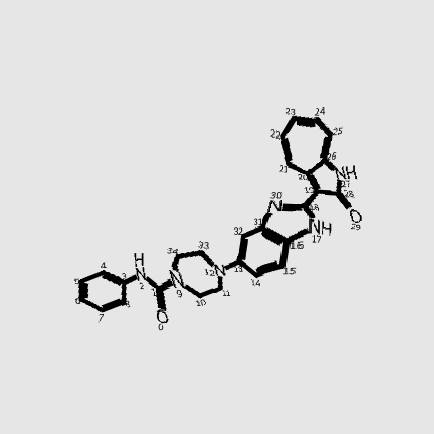 O=C(Nc1ccccc1)N1CCN(c2ccc3[nH]c(-c4c5cccccc-5[nH]c4=O)nc3c2)CC1